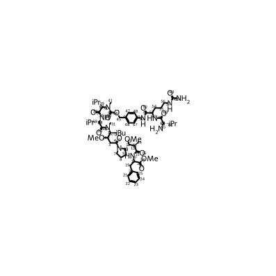 CCC(C)[C@@H](C(CC(=O)N1CCC[C@H]1C(OC)[C@@H](C)C(=O)NC(Cc1ccccc1)C(=O)OC)OC)N(C)C(=O)[C@@H](NC(=O)[C@H](C(C)C)N(C)C(=O)OCc1ccc(NC(=O)C(CCCNC(N)=O)NC(=O)[C@@H](N)C(C)C)cc1)C(C)C